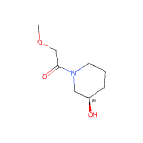 COCC(=O)N1CCC[C@@H](O)C1